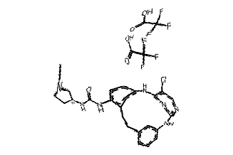 CN1CC[C@H](NC(=O)Nc2ccc3cc2CCc2cccc(c2)Nc2ncc(Cl)c(n2)N3)C1.O=C(O)C(F)(F)F.O=C(O)C(F)(F)F